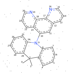 CC1(C)c2ccccc2N(c2cc3cccnc3c3ncccc23)c2ccccc21